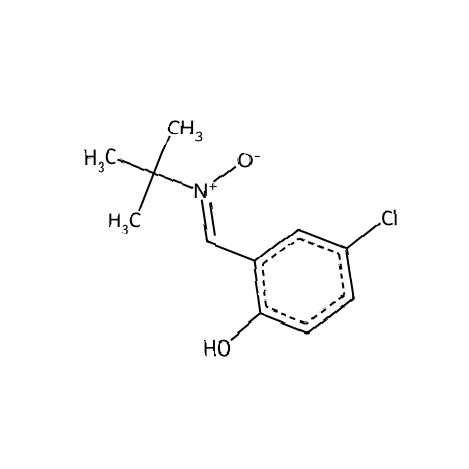 CC(C)(C)[N+]([O-])=Cc1cc(Cl)ccc1O